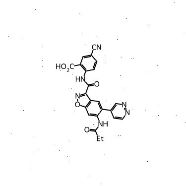 CCC(=O)Nc1cc2onc(C(=O)Nc3ccc(C#N)cc3C(=O)O)c2cc1-c1ccnnc1